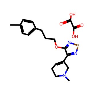 Cc1ccc(CCCOc2nsnc2C2=CCCN(C)C2)cc1.O=C(O)C(=O)O